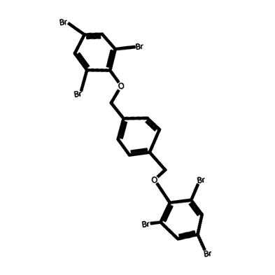 Brc1cc(Br)c(OCc2ccc(COc3c(Br)cc(Br)cc3Br)cc2)c(Br)c1